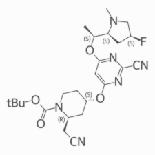 C[C@H](Oc1cc(O[C@H]2CCN(C(=O)OC(C)(C)C)[C@H](CC#N)C2)nc(C#N)n1)[C@@H]1C[C@H](F)CN1C